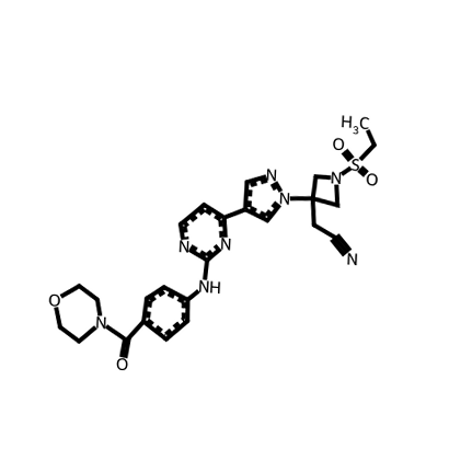 CCS(=O)(=O)N1CC(CC#N)(n2cc(-c3ccnc(Nc4ccc(C(=O)N5CCOCC5)cc4)n3)cn2)C1